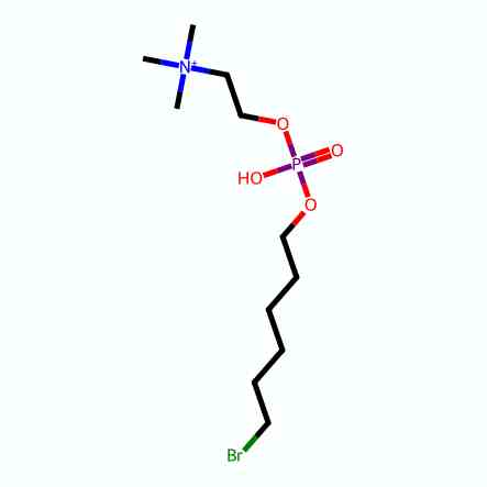 C[N+](C)(C)CCOP(=O)(O)OCCCCCCBr